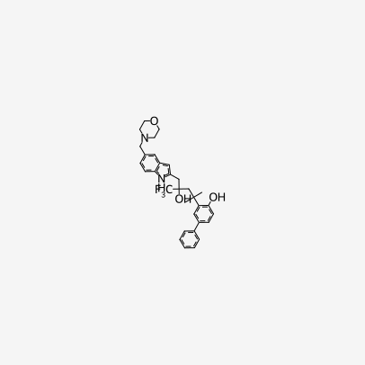 CC(C)(CC(O)(Cc1cc2cc(CN3CCOCC3)ccc2[nH]1)C(F)(F)F)c1cc(-c2ccccc2)ccc1O